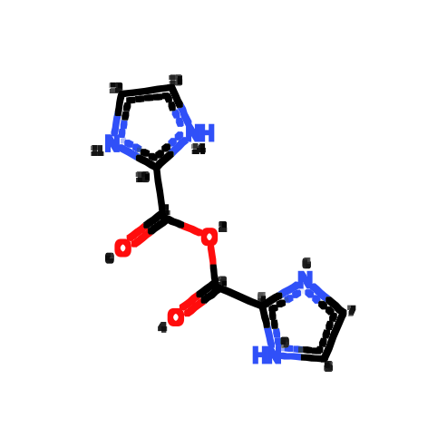 O=C(OC(=O)c1ncc[nH]1)c1ncc[nH]1